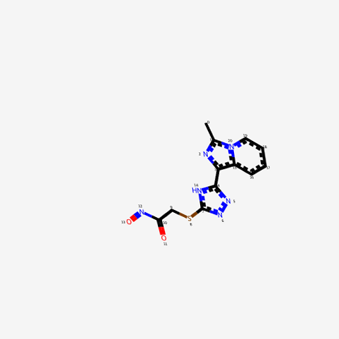 Cc1nc(-c2nnc(SCC(=O)N=O)[nH]2)c2ccccn12